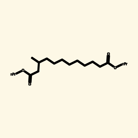 CCCOC(=O)CCCCCCCCC(C)CC(=O)OCCC